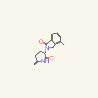 C=C1CCC(N2Cc3c(C)cccc3C2=O)C(=O)N1